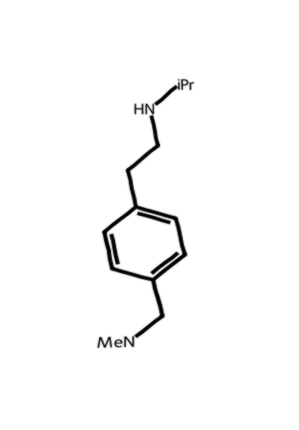 CNCc1ccc(CCNC(C)C)cc1